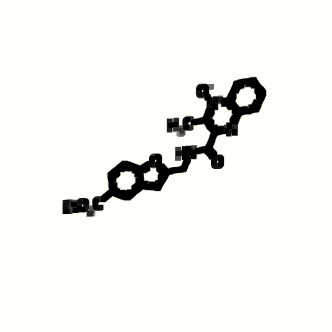 CCOC(=O)c1ccc2oc(CNC(=O)c3nc4ccccc4[n+]([O-])c3C)cc2c1